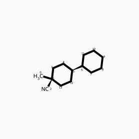 C[C@]1(C#N)CC[C@@H](C2CCCCC2)CC1